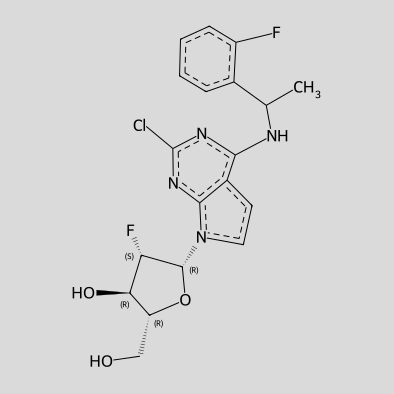 CC(Nc1nc(Cl)nc2c1ccn2[C@@H]1O[C@H](CO)[C@@H](O)[C@@H]1F)c1ccccc1F